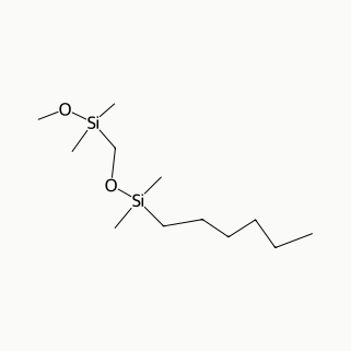 CCCCCC[Si](C)(C)OC[Si](C)(C)OC